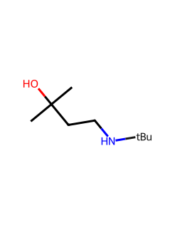 CC(C)(O)CCNC(C)(C)C